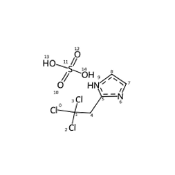 ClC(Cl)(Cl)Cc1ncc[nH]1.O=S(=O)(O)O